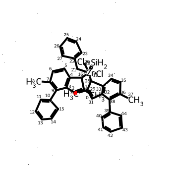 CC1=Cc2c(ccc(C)c2-c2ccccc2)[CH]1[Zr](=[SiH2])([Cl])([Cl])([CH2]c1ccccc1)[CH]1C(C)=Cc2c1ccc(C)c2-c1ccccc1